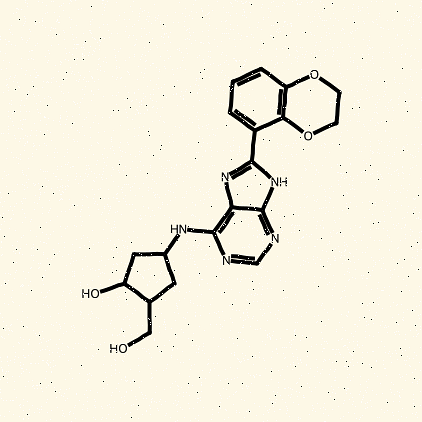 OCC1CC(Nc2ncnc3[nH]c(-c4cccc5c4OCCO5)nc23)CC1O